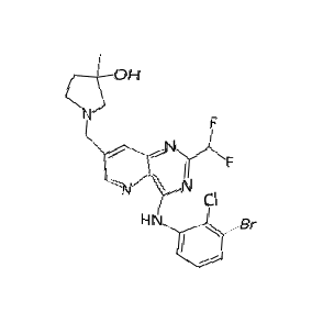 CC1(O)CCN(Cc2cnc3c(Nc4cccc(Br)c4Cl)nc(C(F)F)nc3c2)C1